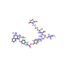 CCCCc1nc2c(N)nc3ccccc3c2n1Cc1ccc(CNC(=O)OCc2ccc(NC(=O)C(CCCNC(N)=O)NC(=O)C(NC(=O)CCCCCN3C(=O)C=CC3=O)C(C)C)cc2)cc1